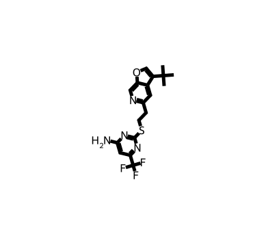 CC(C)(C)c1coc2cnc(CCSc3nc(N)cc(C(F)(F)F)n3)cc12